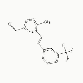 O=Cc1ccc(O)c(C=Cc2cccc(C(F)(F)F)c2)c1